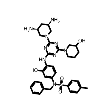 Cc1ccc(S(=O)(=O)N(Cc2ccccc2)c2ccc(Nc3nc(N4CCCC(O)C4)nc(N4C[C@H](N)C[C@H](N)C4)n3)c(O)c2)cc1